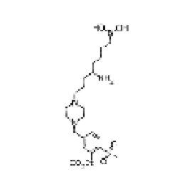 CCOC(=O)c1cc(CN2CCN(CCCC(N)CCCCB(O)O)CC2)ccc1S(C)(=O)=O